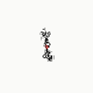 COC(=O)N[C@@H]1C(=O)N2C3C(CCCC3C1C)C[C@H]2c1nc(-c2ccc(-c3cc4c(-c5c[nH]c([C@@H]6CC7CCCC8C(C)[C@H](NC(=O)OC)C(=O)N6C78)n5)cc3CCc3ccc(cc3)CC4)cc2)c[nH]1